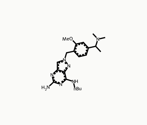 CCCCNc1nc(N)nc2cn(Cc3ccc(C(C)N(C)C)cc3OC)nc12